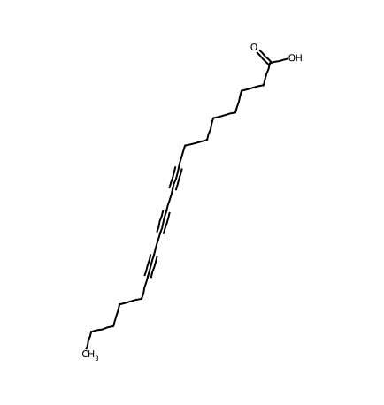 CCCCCC#CC#CC#CCCCCCCC(=O)O